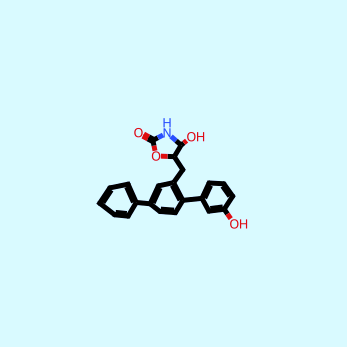 O=C1NC(O)C(Cc2cc(-c3ccccc3)ccc2-c2cccc(O)c2)O1